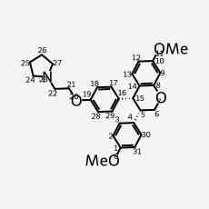 COc1ccc([C@H]2COc3cc(OC)ccc3[C@H]2c2ccc(OCCN3CCCC3)cc2)cc1